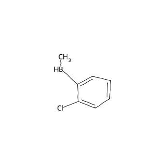 CBc1ccccc1Cl